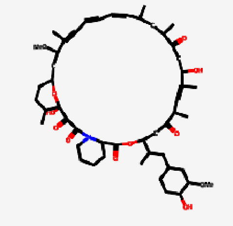 COC1CC2CCC(C)C(O)(O2)C(=O)C(=O)N2CCCCC2C(=O)OC(C(C)CC2CCC(O)C(OC)C2)CC(=O)C(C)/C=C(\C)C(O)CC(=O)C(C)CC(C)\C=C/C=C/C=C/1C